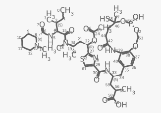 CC[C@H](C)[C@H](NC(=O)[C@H]1CCCCN1C)C(=O)N(C)[C@@H](C)C[C@@H](OC(C)=O)c1nc(C(=O)N[C@@H](Cc2ccc3c(c2)NC(=O)CCC(C)(S)OP(O)OCO3)CC(C)C(=O)O)cs1